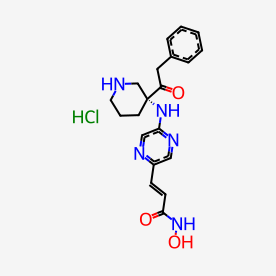 Cl.O=C(/C=C/c1cnc(N[C@]2(C(=O)Cc3ccccc3)CCCNC2)cn1)NO